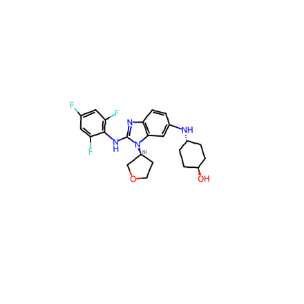 O[C@H]1CC[C@H](Nc2ccc3nc(Nc4c(F)cc(F)cc4F)n([C@H]4CCOC4)c3c2)CC1